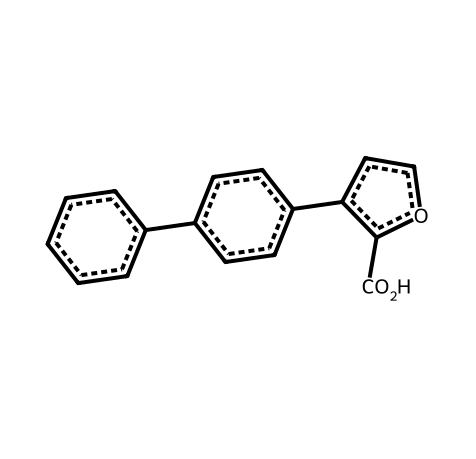 O=C(O)c1occc1-c1ccc(-c2ccccc2)cc1